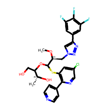 CO[C@@H](Cn1cc(-c2cc(F)c(F)c(F)c2)nn1)C(OC(CO)[C@@H](C)O)Sc1cc(Cl)cnc1-c1ccncc1